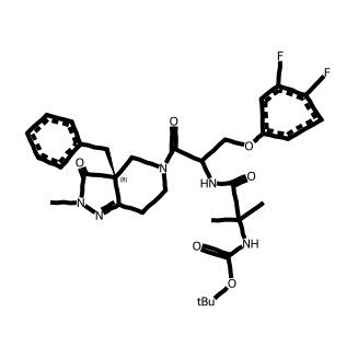 CN1N=C2CCN(C(=O)C(COc3ccc(F)c(F)c3)NC(=O)C(C)(C)NC(=O)OC(C)(C)C)C[C@@]2(Cc2ccccc2)C1=O